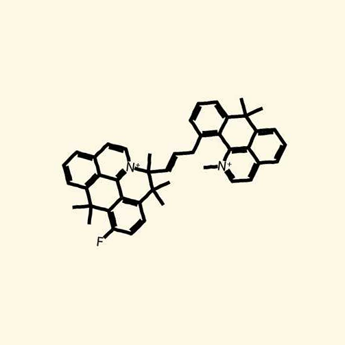 C[n+]1ccc2cccc3c2c1-c1c(C/C=C/C2(C)[n+]4ccc5cccc6c5c4-c4c(ccc(F)c4C6(C)C)C2(C)C)cccc1C3(C)C